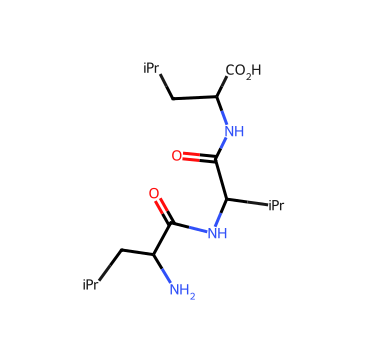 CC(C)CC(N)C(=O)NC(C(=O)NC(CC(C)C)C(=O)O)C(C)C